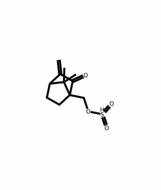 C=C1C(=O)C2(CO[SH](=O)=O)CCC1C2(C)C